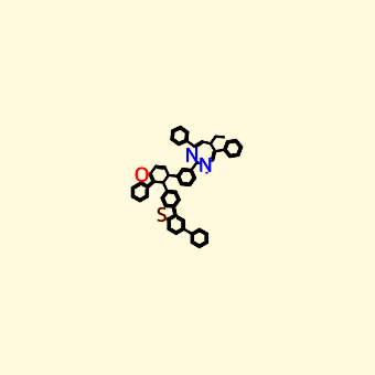 CCC1/C=C(c2ccccc2)\N=C(\c2cccc(C3C=Cc4oc5ccccc5c4C3c3ccc4c(c3)sc3ccc(-c5ccccc5)cc34)c2)N(C)/C=C\1c1ccccc1